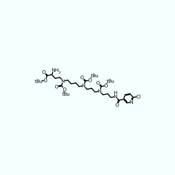 CC(C)(C)OC(=O)C(N)CCN(CCCCN(CCCN(CCCNC(=O)c1ccc(Cl)nc1)C(=O)OC(C)(C)C)C(=O)OC(C)(C)C)C(=O)OC(C)(C)C